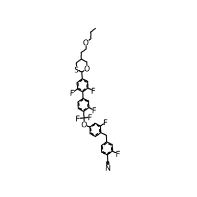 CCCOCCC1COC(c2cc(F)c(-c3ccc(C(F)(F)Oc4ccc(Cc5ccc(C#N)c(F)c5)c(F)c4)c(F)c3)c(F)c2)SC1